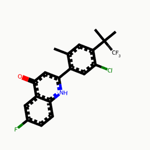 Cc1cc(C(C)(C)C(F)(F)F)c(Cl)cc1-c1cc(=O)c2cc(F)ccc2[nH]1